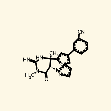 CN1C(=N)N[C@](C)(c2cc(-c3cccc(C#N)c3)cs2)[C@H](n2cccn2)C1=O